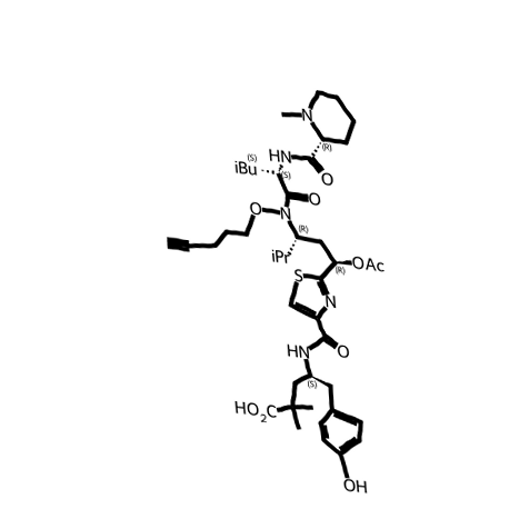 C#CCCCON(C(=O)[C@@H](NC(=O)[C@H]1CCCCN1C)[C@@H](C)CC)[C@H](C[C@@H](OC(C)=O)c1nc(C(=O)N[C@@H](Cc2ccc(O)cc2)CC(C)(C)C(=O)O)cs1)C(C)C